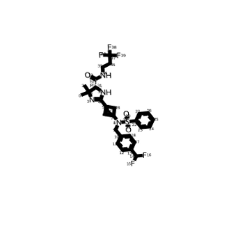 CC1(C)N=C(C23CC(N(Cc4ccc(C(F)F)cc4)S(=O)(=O)c4ccccc4)(C2)C3)N[C@H]1C(=O)NCCC(F)(F)F